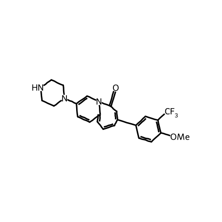 COc1ccc(C2=C\C(=O)N3C=C(N4CCNCC4)C=C\C3=C/C=C/2)cc1C(F)(F)F